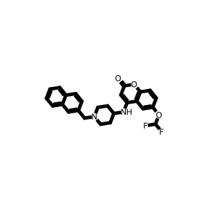 O=c1cc(NC2CCN(Cc3ccc4ccccc4c3)CC2)c2cc(OC(F)F)ccc2o1